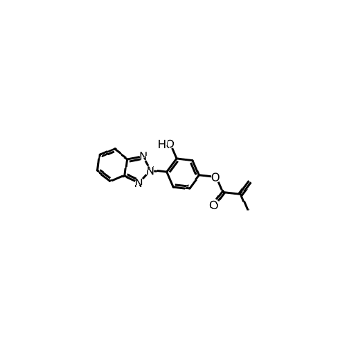 C=C(C)C(=O)Oc1ccc(-n2nc3ccccc3n2)c(O)c1